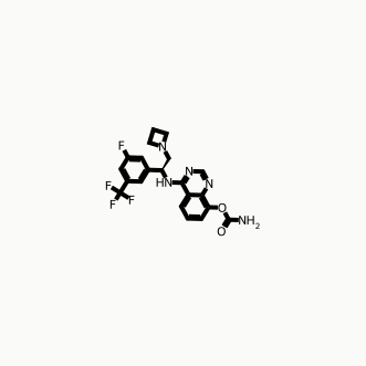 NC(=O)Oc1cccc2c(N[C@H](CN3CCC3)c3cc(F)cc(C(F)(F)F)c3)ncnc12